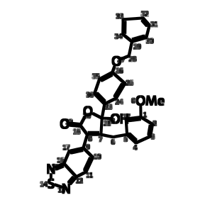 COc1cccc(CC2=C(c3ccc4nsnc4c3)C(=O)OC2(O)c2ccc(OCc3ccccc3)cc2)c1